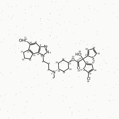 CN(CCCn1nnc2cc(C=O)c3c(c21)CCC3)[C@H]1CC[C@H](OC(=O)C(O)(c2cccs2)c2ccc(Cl)s2)CC1